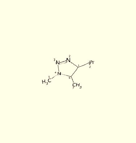 CC(C)C1N=NN(C)C1C